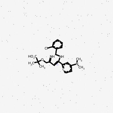 CN(C)c1cccc(/C(=C/C(=N)COC(C)(C)C(=O)O)NCc2ccccc2Cl)c1